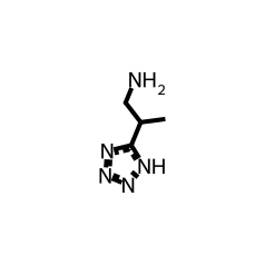 CC(CN)c1nnn[nH]1